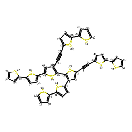 C(#Cc1cc(-c2ccc(-c3cccs3)s2)c(-c2sc(-c3ccc(-c4cccs4)s3)cc2C#Cc2ccc(-c3cccs3)s2)s1)c1ccc(-c2cccs2)s1